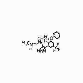 CNCCN(C)Cc1c[nH]nc1-c1cc(C(F)(F)F)cc(Oc2ccccc2)c1C